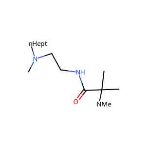 CCCCCCCN(C)CCNC(=O)C(C)(C)NC